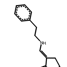 O=C1CCCC1=CNCCc1ccccc1